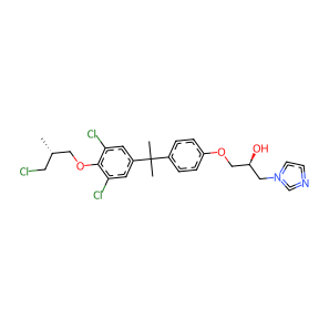 C[C@@H](CCl)COc1c(Cl)cc(C(C)(C)c2ccc(OC[C@@H](O)Cn3ccnc3)cc2)cc1Cl